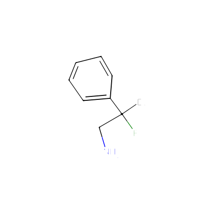 CCC(F)(CN)c1ccccc1